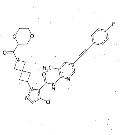 Cc1cc(C#Cc2ccc(F)cc2)cnc1NC(=O)c1c(Cl)cnn1C1CC2(C1)CN(C(=O)C1COCCO1)C2